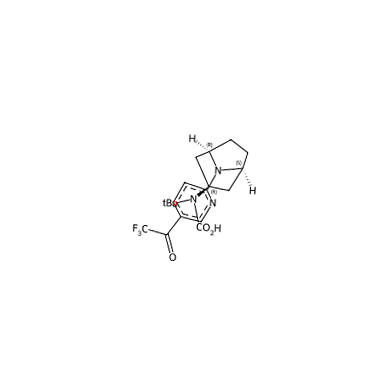 CC(C)(C)N(C(=O)O)[C@H]1C[C@H]2CC[C@@H](C1)N2c1ccc(C(=O)C(F)(F)F)cn1